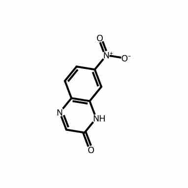 O=c1cnc2ccc([N+](=O)[O-])cc2[nH]1